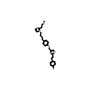 CSCCc1nccn1CCCCc1ccc(OCc2coc(C=Cc3ccc(F)cc3)n2)cc1